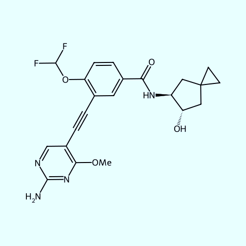 COc1nc(N)ncc1C#Cc1cc(C(=O)N[C@H]2CC3(CC3)C[C@@H]2O)ccc1OC(F)F